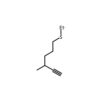 C#CC(C)CCCS[CH]C